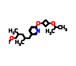 CC(COI)CC(C)Cc1ccc(OC2CC(OC(C)C)C2)nc1